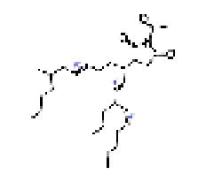 CCCC/C=C\C(/C=C/C(CC/C=C/CC(C)CCCC)C1CC(=O)N(C(C)=O)C1=O)CCC